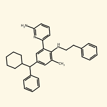 Cc1cc(C(c2ccccc2)C2CCCCC2)cc(-c2cccc(N)n2)c1NCCc1ccccc1